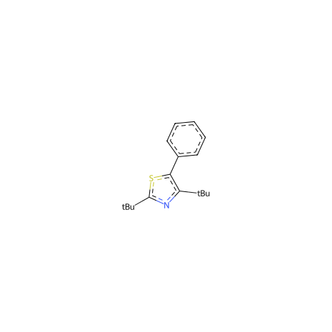 CC(C)(C)c1nc(C(C)(C)C)c(-c2ccccc2)s1